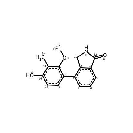 CCCOc1c(-c2cccc3c2CNC3=O)ccc(O)c1C